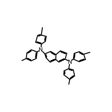 Cc1ccc(N(c2ccc(C)cc2)c2ccc3cc(N(c4ccc(C)cc4)c4ccc(C)cc4)ccc3c2)cc1